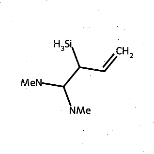 C=CC([SiH3])C(NC)NC